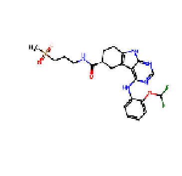 CS(=O)(=O)CCCNC(=O)[C@H]1CCc2[nH]c3ncnc(Nc4ccccc4OC(F)F)c3c2C1